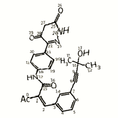 CC(=O)C(=Cc1cccc(C#CC(C)(C)O)c1)C(=O)Nc1ccc(C2=NNC(=O)CC2=O)cc1